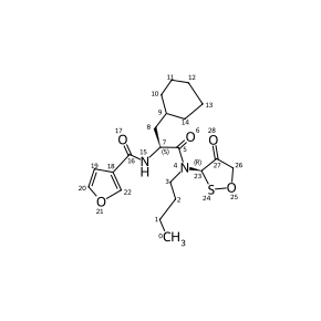 CCCCN(C(=O)[C@H](CC1CCCCC1)NC(=O)c1ccoc1)[C@@H]1SOCC1=O